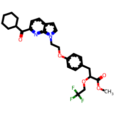 COC(=O)C(Cc1ccc(OCCn2ccc3ccc(C(=O)C4CCCCC4)nc32)cc1)OCC(F)(F)F